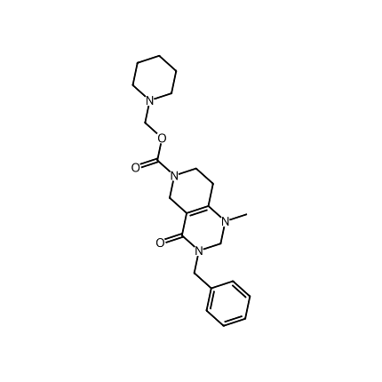 CN1CN(Cc2ccccc2)C(=O)C2=C1CCN(C(=O)OCN1CCCCC1)C2